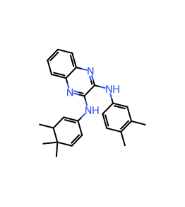 Cc1ccc(Nc2nc3ccccc3nc2NC2=CC(C)C(C)(C)C=C2)cc1C